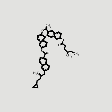 C=C(CCC1CC1)Cc1ccc2cc(C(=O)Sc3ccc4cc(OC(=C)c5ccc6cc(OC(=O)CCC(C)CC)ccc6c5)ccc4c3)ccc2c1